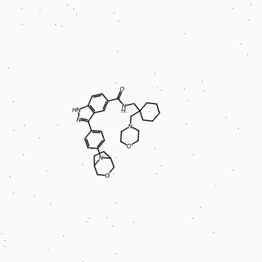 O=C(NCC1(CN2CCOCC2)CCCCC1)c1ccc2[nH]nc(-c3ccc(N4C5CCC4COC5)cc3)c2c1